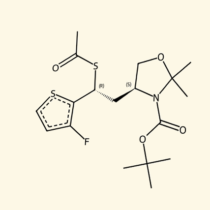 CC(=O)S[C@H](C[C@H]1COC(C)(C)N1C(=O)OC(C)(C)C)c1sccc1F